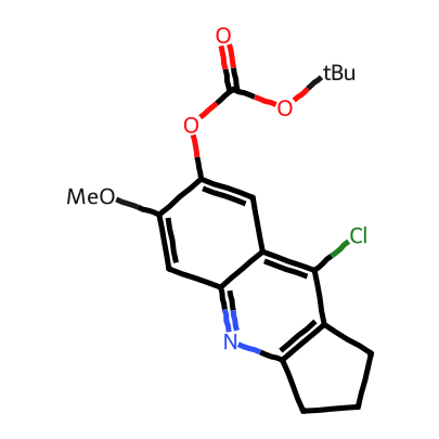 COc1cc2nc3c(c(Cl)c2cc1OC(=O)OC(C)(C)C)CCC3